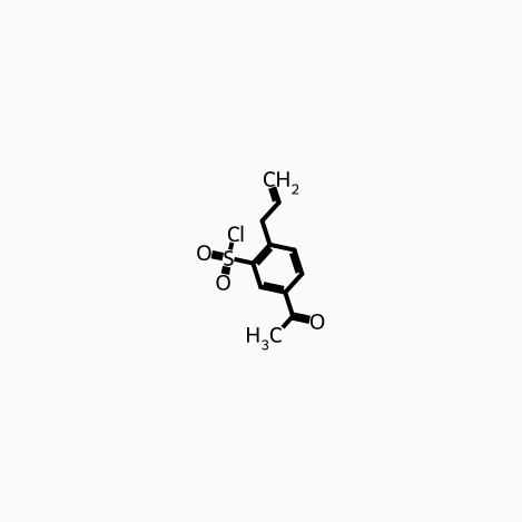 C=CCc1ccc(C(C)=O)cc1S(=O)(=O)Cl